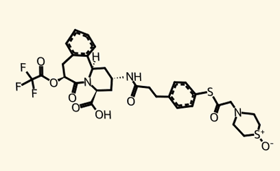 O=C(CCc1ccc(SC(=O)CN2CC[S+]([O-])CC2)cc1)N[C@H]1C[C@@H]2c3ccccc3C[C@H](OC(=O)C(F)(F)F)C(=O)N2[C@H](C(=O)O)C1